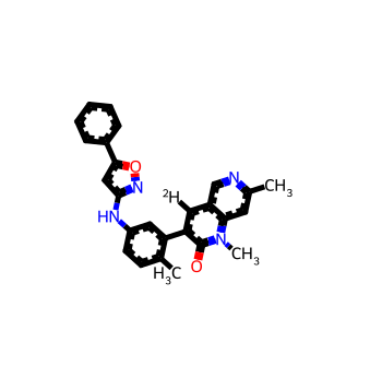 [2H]c1c(-c2cc(Nc3cc(-c4ccccc4)on3)ccc2C)c(=O)n(C)c2cc(C)ncc12